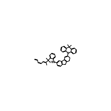 C=C/C=C\C=C(/C)C(C)(C)c1ccccc1Nc1ccc2c(c1)C1=C(CCC(N3c4ccccc4C(C)(C)c4ccccc43)=C1)C2